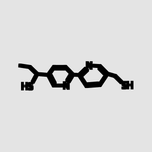 CCC(S)c1ccc(-c2ccc(CS)cn2)nc1